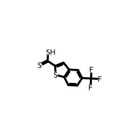 FC(F)(F)c1ccc2sc(C(=S)S)cc2c1